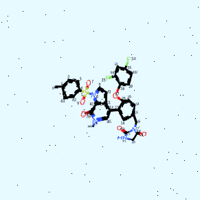 Cc1ccc(S(=O)(=O)n2ccc3c(-c4cc(CN5C(=O)CNC5=O)ccc4Oc4ccc(F)cc4F)cn(C)c(=O)c32)cc1